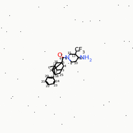 C[C@]12CC3CC(C(=O)N4CCC(N)C(C(F)(F)F)C4)(C1)C[C@@](c1ccccc1)(C3)C2